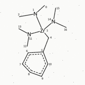 C[N](C)[Zr]([CH2]c1ccccc1)([N](C)C)[N](C)C